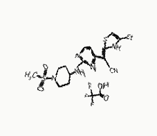 CCC1=CSC(=C(C#N)c2ccnc(NC3CCN(S(C)(=O)=O)CC3)n2)N1.O=C(O)C(F)(F)F